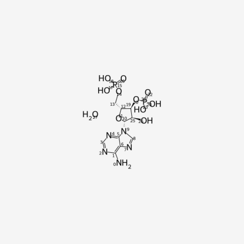 Nc1ncnc2c1ncn2[C@@H]1O[C@H](COP(=O)(O)O)[C@@H](OP(=O)(O)O)[C@H]1O.O